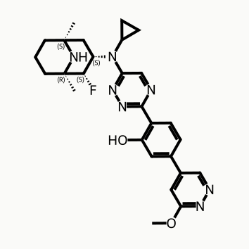 COc1cc(-c2ccc(-c3ncc(N(C4CC4)[C@H]4C[C@]5(C)CCC[C@@](C)(N5)[C@H]4F)nn3)c(O)c2)cnn1